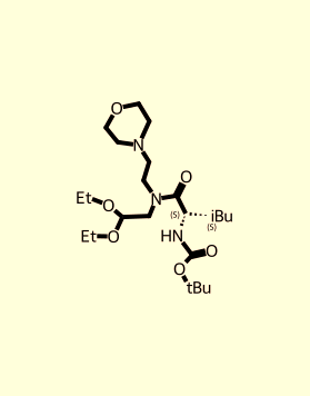 CCOC(CN(CCN1CCOCC1)C(=O)[C@@H](NC(=O)OC(C)(C)C)[C@@H](C)CC)OCC